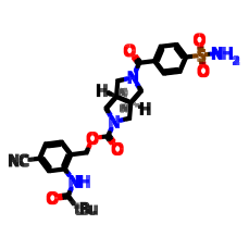 CC(C)(C)C(=O)Nc1cc(C#N)ccc1COC(=O)N1C[C@@H]2CN(C(=O)c3ccc(S(N)(=O)=O)cc3)C[C@H]2C1